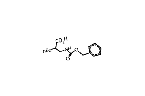 CCCCC(CNC(=O)OCc1ccccc1)C(=O)O